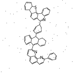 C1=CC2Sc3c(ccc4c(C5C=CC(C6c7ccccc7C(c7ccc8ccc9ccc(-c%10ccccc%10)nc9c8n7)=C7C=CCCC76)=CC5)nc5ccccc5c34)C2C=C1